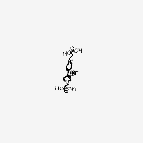 O=P(O)(O)CC[n+]1ccc(-c2cc[n+](CCP(=O)(O)O)cc2)cc1.[Br-].[Br-]